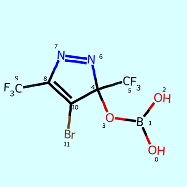 OB(O)OC1(C(F)(F)F)N=NC(C(F)(F)F)=C1Br